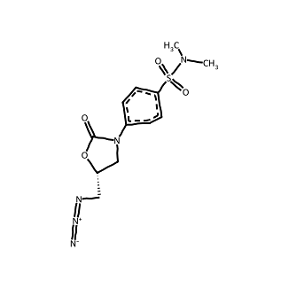 CN(C)S(=O)(=O)c1ccc(N2C[C@H](CN=[N+]=[N-])OC2=O)cc1